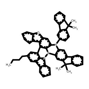 CCCCc1cc2c3c(c1)c1ccccc1n3B1c3cc4c(cc3N(c3ccc5c(c3)-c3ccccc3C5(C)C)c3cc5oc6ccccc6c5c-2c31)-c1ccccc1C4(C)C